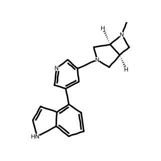 CN1C[C@H]2CN(c3cncc(-c4cccc5[nH]ccc45)c3)C[C@H]21